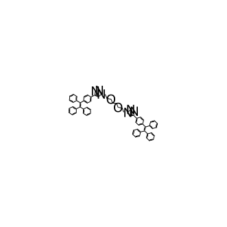 c1ccc(C(=C(c2ccccc2)c2ccc(-c3cn(CCOCCOCCn4cc(-c5ccc(C(=C(c6ccccc6)c6ccccc6)c6ccccc6)cc5)nn4)nn3)cc2)c2ccccc2)cc1